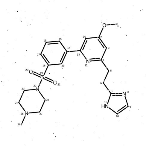 COc1cc(CCc2ncc[nH]2)nc(-c2cccc(S(=O)(=O)N3CCN(C)CC3)c2)c1